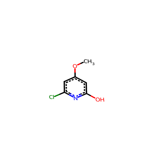 COc1cc(O)nc(Cl)c1